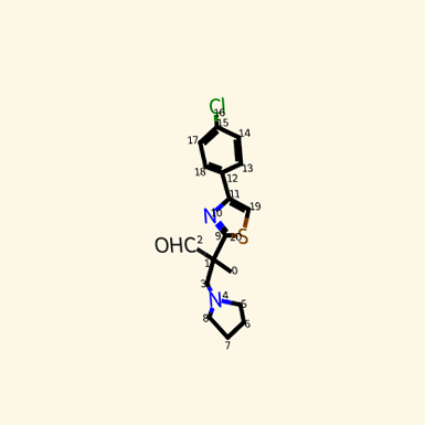 CC(C=O)(CN1CCCC1)c1nc(-c2ccc(Cl)cc2)cs1